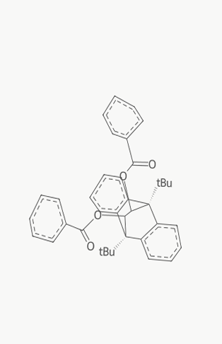 CC(C)(C)[C@]12c3ccccc3[C@](C(C)(C)C)(c3ccccc31)C(OC(=O)c1ccccc1)C2OC(=O)c1ccccc1